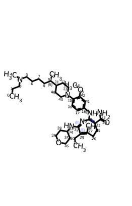 CCCN(C)CCCC[C@@H](C)C1CCN(c2ccc(NC3=C(\C(N)=O)CC/C(C)=C(CC)/C(NC4CCOCC4)=N\3)cc2OC)CC1